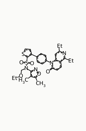 CCOCN(c1noc(C)c1C)S(=O)(=O)c1sccc1-c1ccc(-n2c(=O)ccc3c(CC)nc(CC)cc32)cc1